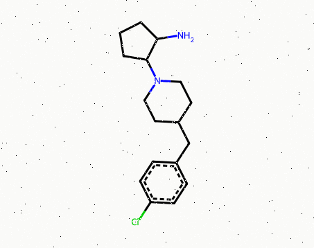 NC1CCCC1N1CCC(Cc2ccc(Cl)cc2)CC1